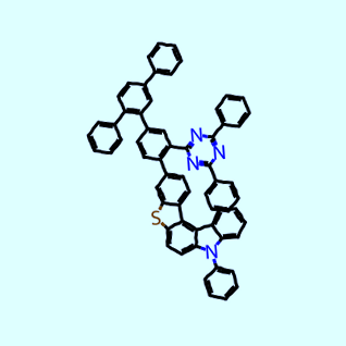 c1ccc(-c2ccc(-c3ccccc3)c(-c3ccc(-c4ccc5c(c4)sc4ccc6c(c7ccccc7n6-c6ccccc6)c45)c(-c4nc(-c5ccccc5)nc(-c5ccccc5)n4)c3)c2)cc1